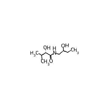 CCC(O)CNC(=O)[C@@H](O)C(C)C